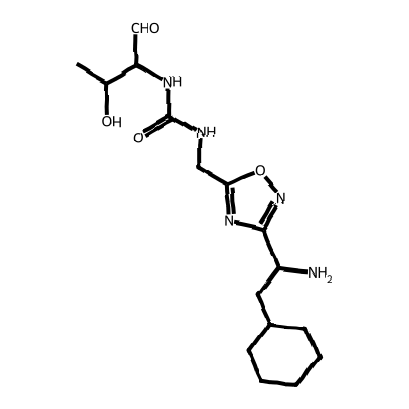 CC(O)C(C=O)NC(=O)NCc1nc(C(N)CC2CCCCC2)no1